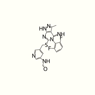 Cc1n[nH]c2nc(SCc3cncc(NC=O)c3)n(-c3c(F)cccc3F)c(=N)c12